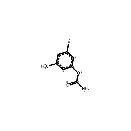 Cc1cc(F)cc(OC(N)=O)c1